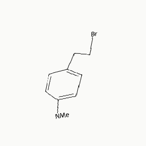 CNc1ccc(CCBr)cc1